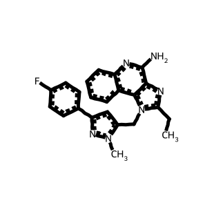 CCc1nc2c(N)nc3ccccc3c2n1Cc1cc(-c2ccc(F)cc2)nn1C